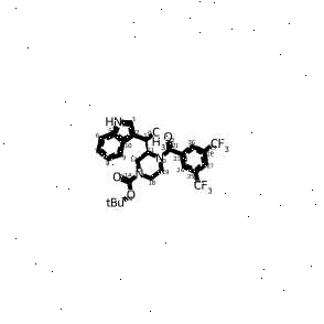 CC(c1c[nH]c2ccccc12)[C@@H]1CN(C(=O)OC(C)(C)C)CCN1C(=O)c1cc(C(F)(F)F)cc(C(F)(F)F)c1